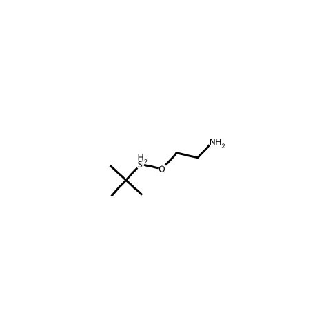 CC(C)(C)[SiH2]OCCN